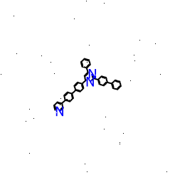 c1ccc(-c2ccc(-c3nc(-c4ccccc4)cc(-c4ccc(-c5ccc(-c6cccnc6)cc5)cc4)n3)cc2)cc1